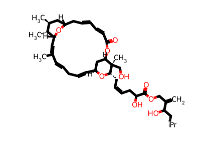 C=C(COC(=O)C(O)C/C=C\C[C@@H]1O[C@@H]2/C=C/C/C=C/C(C)=C\[C@H]3O[C@@H](C/C=C/C=C/C(=O)O[C@H](C2)[C@@]1(C)CO)C[C@H](C)[C@H]3C)C(O)CC(C)C